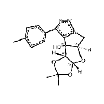 Cc1ccc(-c2nnn3c2[C@@]2(O)[C@@H](C3)O[C@@H]3OC(C)(C)O[C@@H]32)cc1